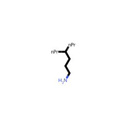 CCC[C](CCC)CCCN